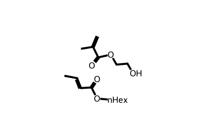 C=C(C)C(=O)OCCO.CC=CC(=O)OCCCCCC